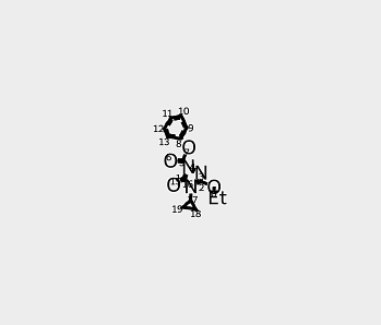 CCOc1nn(C(=O)Oc2ccccc2)c(=O)n1C1CC1